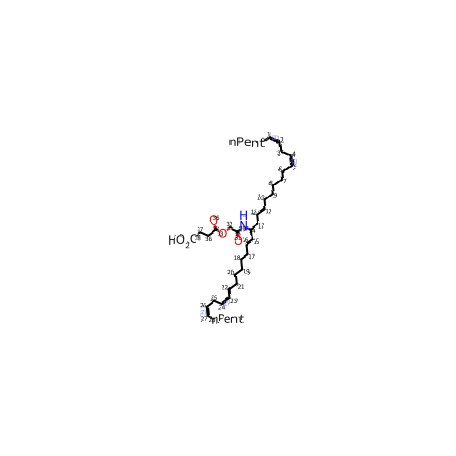 CCCCC/C=C\C/C=C\CCCCCCCCC(CCCCCCCC/C=C\C/C=C\CCCCC)NC(=O)COC(=O)CCC(=O)O